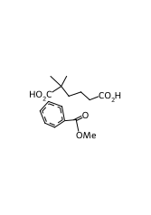 CC(C)(CCCC(=O)O)C(=O)O.COC(=O)c1ccccc1